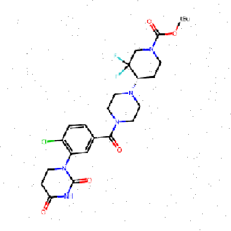 CC(C)(C)OC(=O)N1CC[C@H](N2CCN(C(=O)c3ccc(Cl)c(N4CCC(=O)NC4=O)c3)CC2)C(F)(F)C1